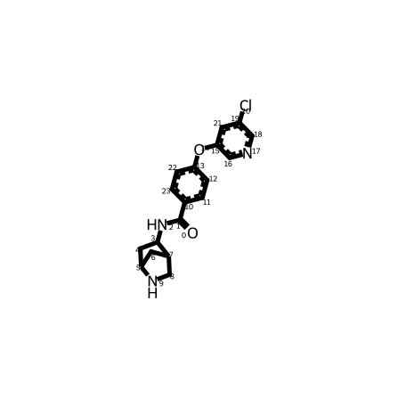 O=C(NC1CC2CC1CN2)c1ccc(Oc2cncc(Cl)c2)cc1